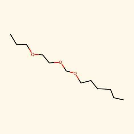 CCCCCCOCOCCOCCC